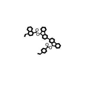 C=Cc1ccc(C(=O)OC2c3ccccc3-c3ccc(-c4ccc5c(c4)-c4ccccc4C5OC(=O)c4ccc(C=C)c5ccccc45)cc32)cc1